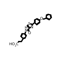 O=C(O)CCc1ccc(NC(=O)c2csc(-c3ccc(OCc4ccccc4)cc3)n2)cc1